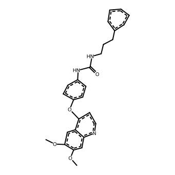 COc1cc2nccc(Oc3ccc(NC(=O)NCCCc4ccccc4)cc3)c2cc1OC